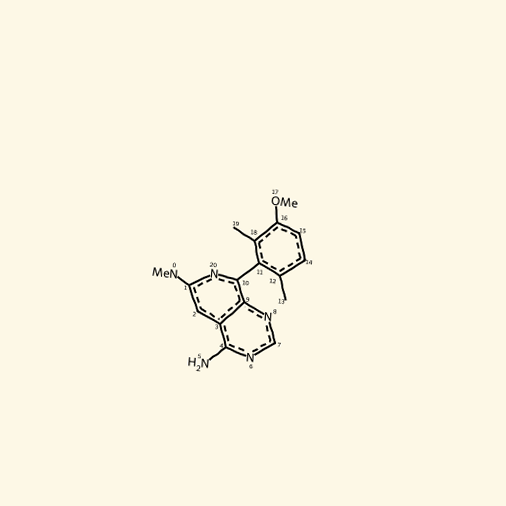 CNc1cc2c(N)ncnc2c(-c2c(C)ccc(OC)c2C)n1